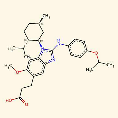 COc1cc2c(cc1CCC(=O)O)nc(Nc1ccc(OC(C)C)cc1)n2[C@@H]1C[C@H](C)CC[C@H]1C(C)C